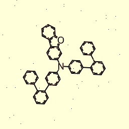 c1ccc(-c2ccccc2-c2ccc(N(c3ccc(-c4ccccc4-c4ccccc4)cc3)c3ccc4c(c3)oc3ccccc34)cc2)cc1